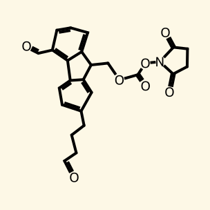 O=CCCCc1ccc2c(c1)C(COC(=O)ON1C(=O)CCC1=O)c1cccc(C=O)c1-2